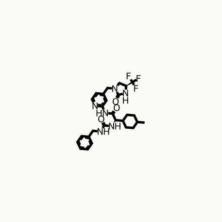 CC1CCC([C@H](NC(=O)NCc2ccccc2)C(=O)Nc2cc(CN3C[C@@H](C(F)(F)F)NC3=O)ccn2)CC1